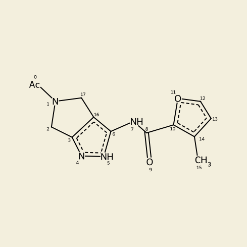 CC(=O)N1Cc2n[nH]c(NC(=O)c3occc3C)c2C1